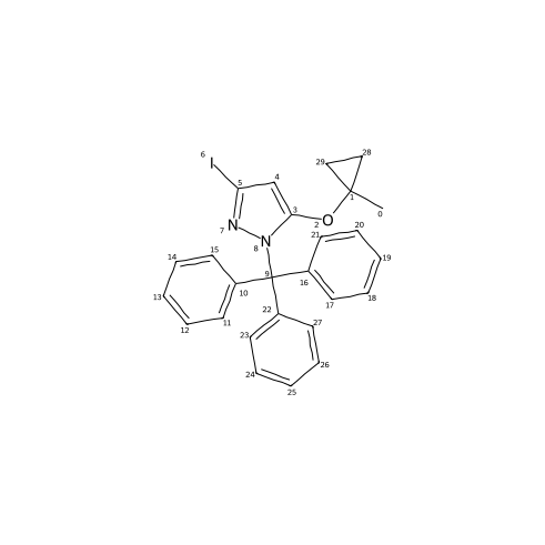 CC1(Oc2cc(I)nn2C(c2ccccc2)(c2ccccc2)c2ccccc2)CC1